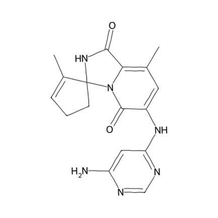 CC1=CCCC12NC(=O)c1c(C)cc(Nc3cc(N)ncn3)c(=O)n12